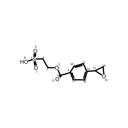 O=C(OCCS(=O)(=O)O)c1ccc(C2CO2)cc1